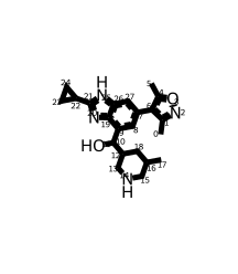 Cc1noc(C)c1-c1cc(C(O)C2CNCC(C)C2)c2nc(C3CC3)[nH]c2c1